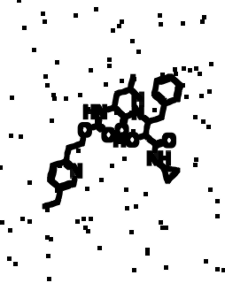 CCc1ccc(CCOC(=O)NC(CC(C)C)C(=O)NC(Cc2ccccc2)C(O)C(=O)NC2CC2)nc1